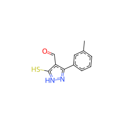 Cc1cccc(-c2n[nH]c(S)c2C=O)c1